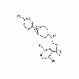 C[C@H]1CC2CN(C(=O)COC3(c4cc(F)ccc4Br)CC3)CC1N2c1ccc(C#N)cn1